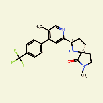 Cc1cnc([C@H]2CC[C@@]3(CCN(C)C3=O)N2)cc1-c1ccc(C(F)(F)F)cc1